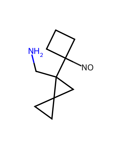 NCC1(C2(N=O)CCC2)CC12CC2